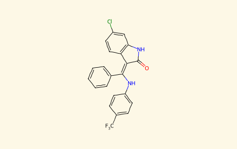 O=C1Nc2cc(Cl)ccc2C1=C(Nc1ccc(C(F)(F)F)cc1)c1ccccc1